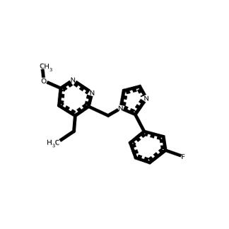 CCc1cc(OC)nnc1Cn1ccnc1-c1cccc(F)c1